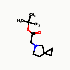 CC(C)(C)OC(=O)CN1CCC2(CC2)C1